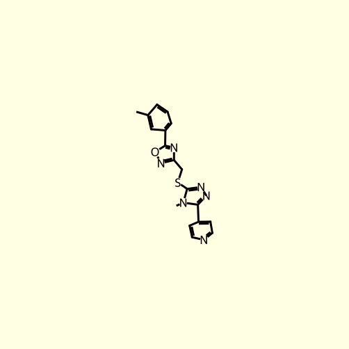 Cc1cccc(-c2nc(CSc3nnc(-c4ccncc4)n3C)no2)c1